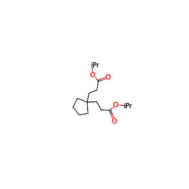 CC(C)OC(=O)CCC1(CCC(=O)OC(C)C)CCCC1